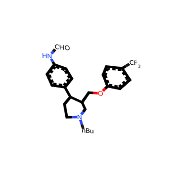 CCCCN1CCC(c2ccc(NC=O)cc2)C(COc2ccc(C(F)(F)F)cc2)C1